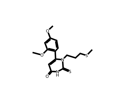 COc1ccc(-c2cc(=O)[nH]c(=S)n2CCCSC)c(OC)c1